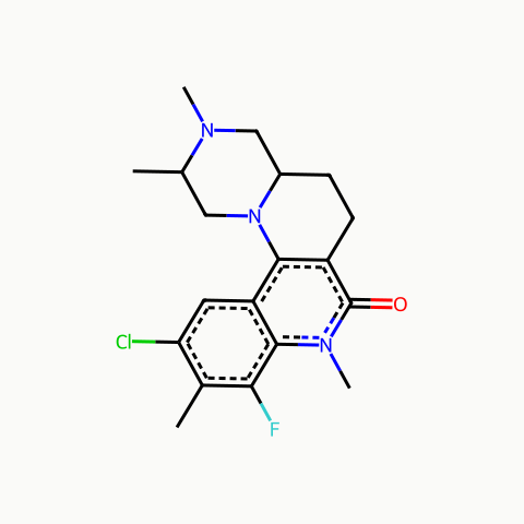 Cc1c(Cl)cc2c3c(c(=O)n(C)c2c1F)CCC1CN(C)C(C)CN31